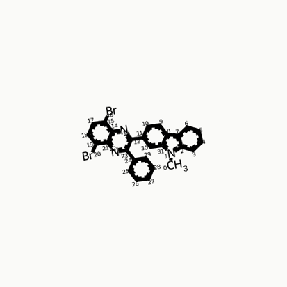 Cn1c2ccccc2c2ccc(-c3nc4c(Br)ccc(Br)c4nc3-c3ccccc3)cc21